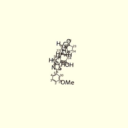 COc1cccc(-c2nc3c(s2)[C@@H]2[C@@H](O)C[C@@H]4[C@H](CC[C@]5(C)C(=O)CC[C@@H]45)[C@@]2(C)CC3)c1